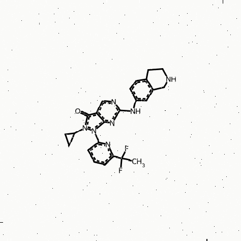 CC(F)(F)c1cccc(-n2c3nc(Nc4ccc5c(c4)CNCC5)ncc3c(=O)n2C2CC2)n1